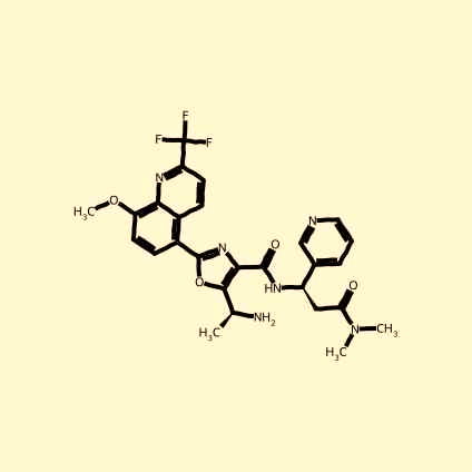 COc1ccc(-c2nc(C(=O)N[C@H](CC(=O)N(C)C)c3cccnc3)c([C@H](C)N)o2)c2ccc(C(F)(F)F)nc12